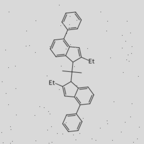 CCC1=Cc2c(-c3ccccc3)cccc2C1C(C)(C)C1C(CC)=Cc2c(-c3ccccc3)cccc21